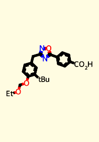 CCOCOc1ccc(Cc2noc(-c3ccc(C(=O)O)cc3)n2)cc1C(C)(C)C